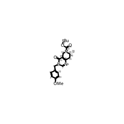 COc1ccc(Cn2cnc3c(c2=O)CN(C(=O)OC(C)(C)C)[C@H](C)C3)cc1